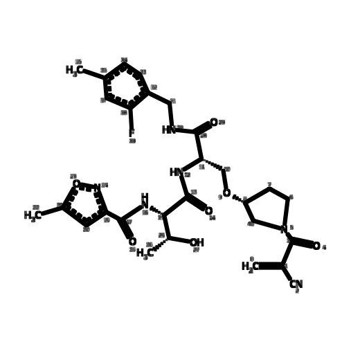 C=C(C#N)C(=O)N1CC[C@@H](OC[C@H](NC(=O)[C@@H](NC(=O)c2cc(C)on2)[C@@H](C)O)C(=O)NCc2ccc(C)cc2F)C1